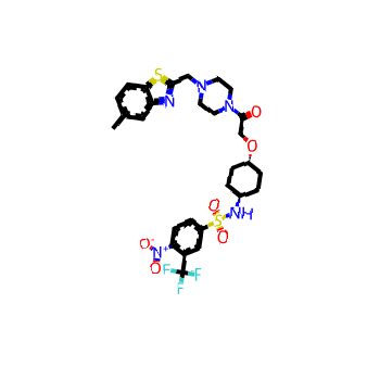 Cc1ccc2sc(CN3CCN(C(=O)CO[C@H]4CC[C@H](NS(=O)(=O)c5ccc([N+](=O)[O-])c(C(F)(F)F)c5)CC4)CC3)nc2c1